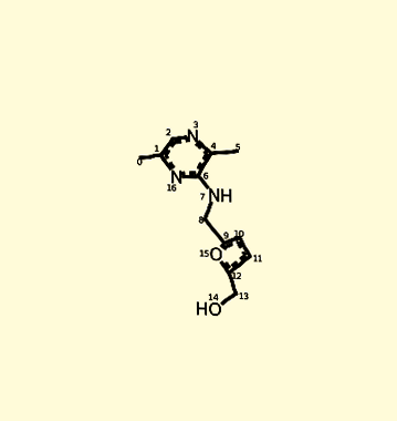 Cc1cnc(C)c(NCc2ccc(CO)o2)n1